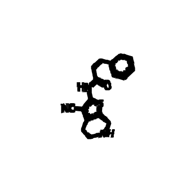 N#Cc1c(NC(=O)/C=C\c2ccccc2)sc2c1CCNC2